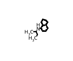 CCC(C)Nc1cccc2ccccc12